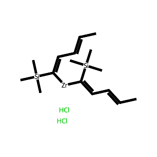 CC=CC=[C]([Zr][C](=CC=CC)[Si](C)(C)C)[Si](C)(C)C.Cl.Cl